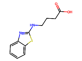 O=C(O)CCCNc1nc2ccccc2s1